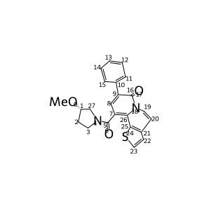 CO[C@H]1CCN(C(=O)c2cc(-c3ccccc3)c(=O)n3ccc4ccsc4c23)C1